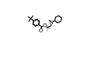 C[C@@H](CN(C)C1CCCCC1)OC(=O)c1ccc(C(C)(C)C)cc1